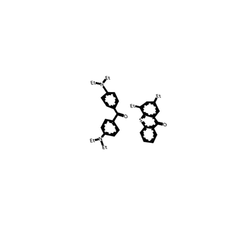 CCN(CC)c1ccc(C(=O)c2ccc(N(CC)CC)cc2)cc1.CCc1cc(CC)c2sc3ccccc3c(=O)c2c1